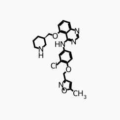 Cc1cc(COc2ccc(Nc3ncnc4cccc(OC[C@@H]5CCCNC5)c34)cc2Cl)no1